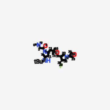 CN(C)CC(=O)N1C[C@H](NC(C)(C)C)CC1CC(C)(C)OC[C@H]1CN(C2COC2)C[C@@H]1CF